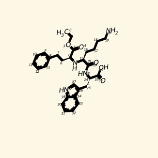 CCOC(=O)[C@H](CCc1ccccc1)N[C@@H](CCCCN)C(=O)N[C@@H](Cc1c[nH]c2ccccc12)C(=O)O